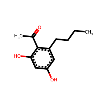 CCCCc1cc(O)cc(O)c1C(C)=O